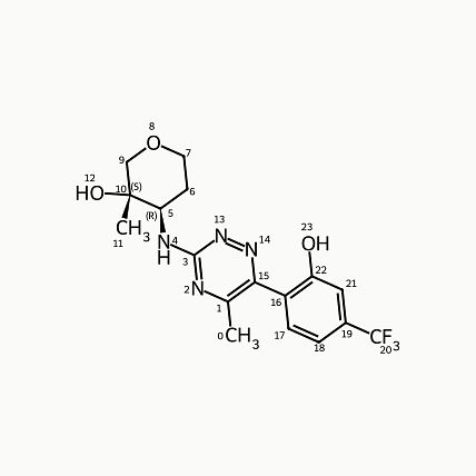 Cc1nc(N[C@@H]2CCOC[C@@]2(C)O)nnc1-c1ccc(C(F)(F)F)cc1O